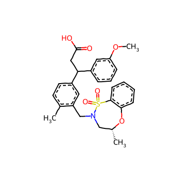 COc1cccc(C(CC(=O)O)c2ccc(C)c(CN3C[C@@H](C)Oc4ccccc4S3(=O)=O)c2)c1